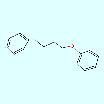 [c]1ccc(CCCCOc2ccccc2)cc1